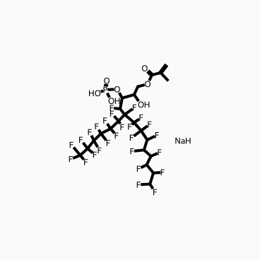 C=C(C)C(=O)OCC(O)C(OP(=O)(O)O)C(F)C(F)(C(F)(F)C(F)(F)C(F)C(F)C(F)C(F)C(F)C(F)F)C(F)(F)C(F)(F)C(F)(F)C(F)(F)C(F)(F)C(F)(F)F.[NaH]